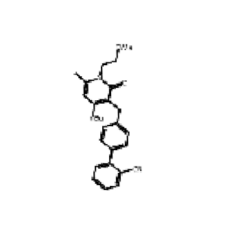 CCCCc1cc(C)n(CCOC)c(=O)c1Cc1ccc(-c2ccccc2C#N)cc1